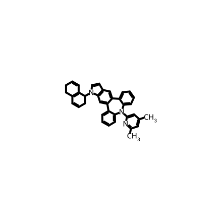 Cc1cc(C)nc(N2c3ccccc3-c3cc4ccn(C5CC=CC6=C5C=CCC6)c4cc3-c3ccccc32)c1